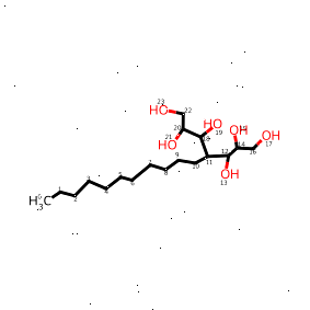 CCCCCCCCCCCC(C(O)C(O)CO)C(O)C(O)CO